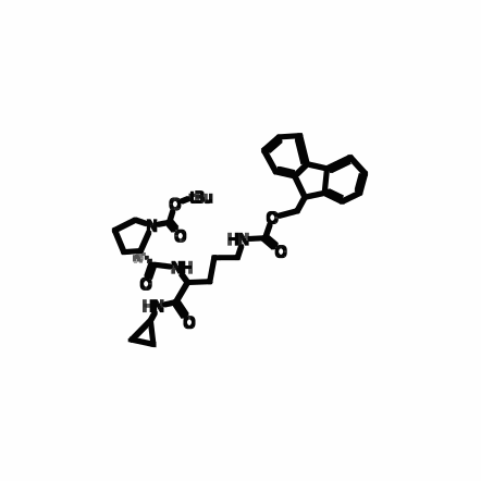 CC(C)(C)OC(=O)N1CCC[C@H]1C(=O)NC(CCCNC(=O)OCC1c2ccccc2-c2ccccc21)C(=O)NC1CC1